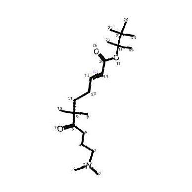 CN(C)CCCC(=O)C(C)(C)CC/C=C/C(=O)OC(C)(C)C(C)(C)C